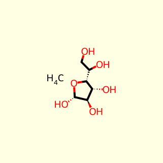 C.OCC(O)[C@H]1O[C@@H](O)[C@H](O)[C@H]1O